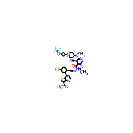 Cc1nc2cnc(N(C)C3CCN(C4CC(OC(F)(F)F)C4)CC3)c(C#N)c2c(=O)n1CC#Cc1ccc(Cl)cc1-c1ccnc2c(C(=O)O)csc12